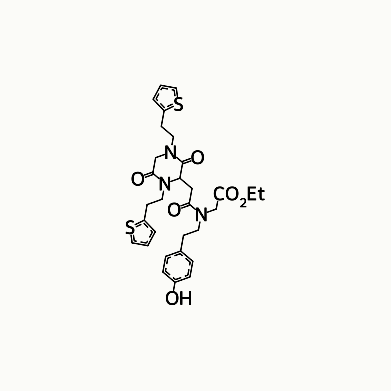 CCOC(=O)CN(CCc1ccc(O)cc1)C(=O)CC1C(=O)N(CCc2cccs2)CC(=O)N1CCc1cccs1